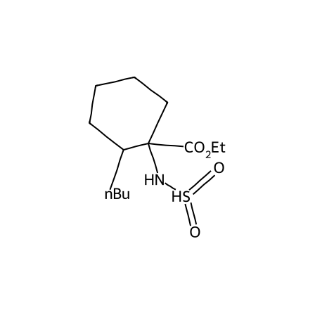 CCCCC1CCCCC1(N[SH](=O)=O)C(=O)OCC